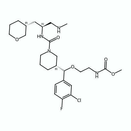 CNC[C@H](C[C@H]1CCCOC1)NC(=O)N1CCC[C@@H](C(OCCNC(=O)OC)c2ccc(F)c(Cl)c2)C1